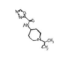 CC(C)N1CCC(NC(=O)c2nnco2)CC1